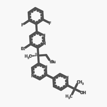 CCc1cc(-c2c(F)cccc2F)nnc1[C@@](C)(CC(C)(C)C)c1cncc(-c2ccc(C(C)(C)O)nc2)n1